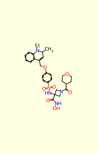 CCN1c2ccccc2C(COc2ccc(S(=O)(=O)NC3(C(=O)NO)CN(C(=O)C4CCOCC4)C3)cc2)=CC1C